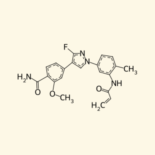 C=CC(=O)Nc1cc(-n2cc(-c3ccc(C(N)=O)c(OC)c3)c(F)n2)ccc1C